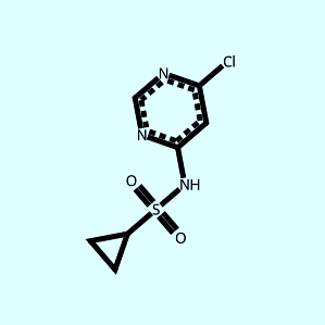 O=S(=O)(Nc1cc(Cl)ncn1)C1CC1